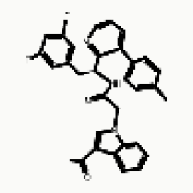 CC(=O)c1cn(CC(=O)N[C@@H](Cc2cc(F)cc(F)c2)c2ncccc2-c2ccc(C)cc2)c2ccccc12